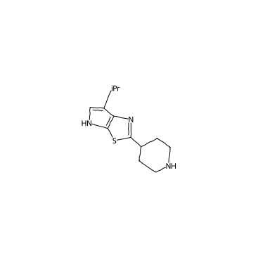 CC(C)c1c[nH]c2sc(C3CCNCC3)nc12